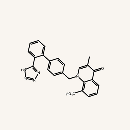 Cc1cn(Cc2ccc(-c3ccccc3-c3nnn[nH]3)cc2)c2c(C(=O)O)cccc2c1=O